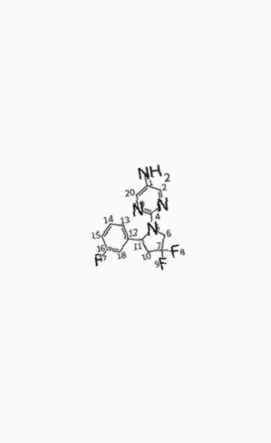 Nc1cnc(N2CC(F)(F)CC2c2cccc(F)c2)nc1